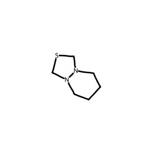 C1CCN2CSCN2C1